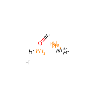 P.P.P.[C]=O.[H-].[H-].[H-].[Rh+3]